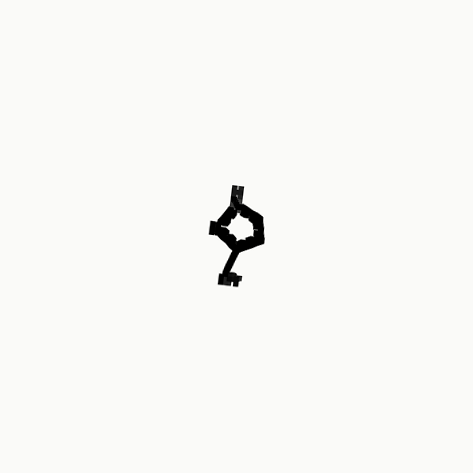 CCCc1cc[nH]n1